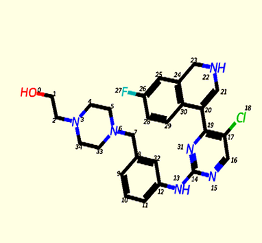 OCCN1CCN(Cc2cccc(Nc3ncc(Cl)c(C4=CNCc5cc(F)ccc54)n3)c2)CC1